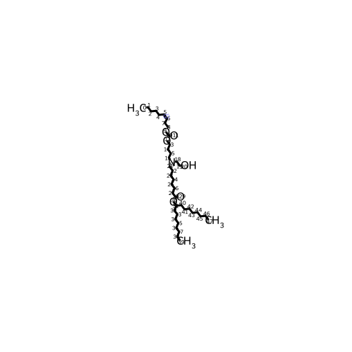 CCCCC/C=C\CCOC(=O)OCCCCN(CCO)CCCCCCCC(=O)OC(CCCCCCCC)CCCCCCCC